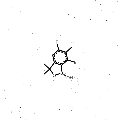 Cc1c(F)cc2c(c1F)B(O)OC2(C)C